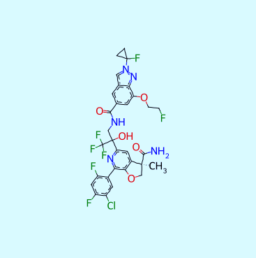 C[C@]1(C(N)=O)COc2c1cc(C(O)(CNC(=O)c1cc(OCCF)c3nn(C4(F)CC4)cc3c1)C(F)(F)F)nc2-c1cc(Cl)c(F)cc1F